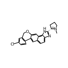 CN1CCC[C@H]1c1nc2ccc3cc4c(cc3c2[nH]1)OCc1cc(Cl)ccc1-4